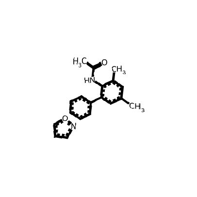 CC(=O)Nc1c(C)cc(C)cc1-c1ccccc1.c1cnoc1